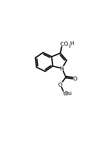 CC(C)(C)OC(=O)n1cc(C(=O)O)c2ccccc21